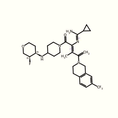 C=C(/C(C)=C(\N=C(/N)C1CC1)C(=O)N1CCC(N[C@@H]2CCOC[C@@H]2F)CC1)N1CCc2ccc(C(F)(F)F)cc2C1